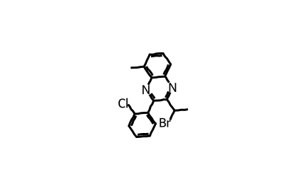 Cc1cccc2nc(C(C)Br)c(-c3ccccc3Cl)nc12